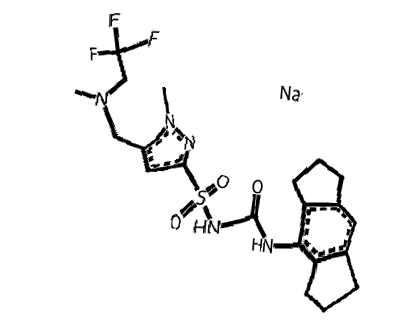 CN(Cc1cc(S(=O)(=O)NC(=O)Nc2c3c(cc4c2CCC4)CCC3)nn1C)CC(F)(F)F.[Na]